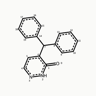 O=c1[nH]nccc1C(c1ccccc1)c1ccccc1